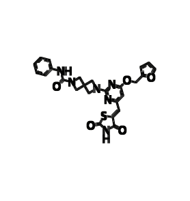 O=C1NC(=O)C(=Cc2cc(OCc3ccco3)nc(N3CC4(CN(C(=O)Nc5ccccc5)C4)C3)n2)S1